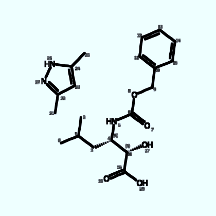 CC(C)C[C@H](NC(=O)OCc1ccccc1)[C@H](O)C(=O)O.Cc1cc(C)[nH]n1